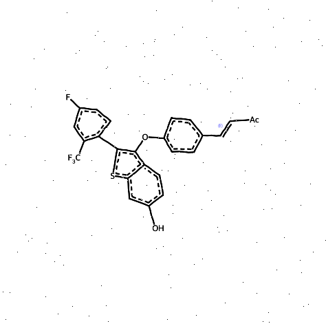 CC(=O)/C=C/c1ccc(Oc2c(-c3ccc(F)cc3C(F)(F)F)sc3cc(O)ccc23)cc1